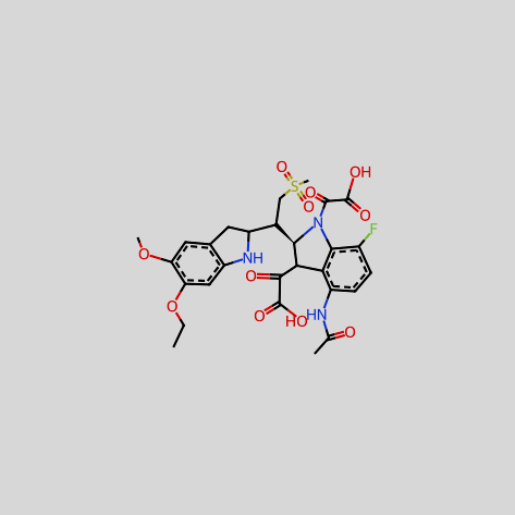 CCOc1cc2c(cc1OC)CC(C(CS(C)(=O)=O)[C@@H]1C(C(=O)C(=O)O)c3c(NC(C)=O)ccc(F)c3N1C(=O)C(=O)O)N2